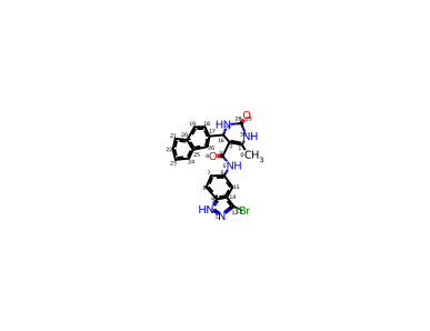 CC1=C(C(=O)Nc2ccc3[nH]nc(Br)c3c2)C(c2ccc3ccccc3c2)NC(=O)N1